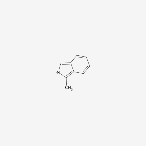 CC1=c2ccccc2=C[N]1